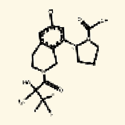 CC(O)(C(=O)N1CCc2cc(Cl)cc([C@@H]3CCCN3C(=O)O)c2C1)C(F)(F)F